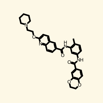 Cc1ccc(NC(=O)c2ccc3c(c2)OCCO3)cc1NC(=O)c1ccc2nc(OCCN3CCCCC3)ccc2c1